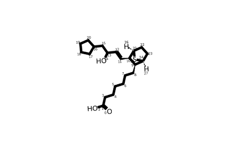 O=C(O)CCCCCC[C@H]1[C@@H](/C=C/C(O)CC2CCCC2)[C@H]2CC[C@@H]1S2